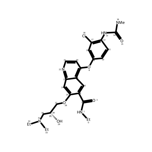 CCNC(=O)c1cc2c(Oc3ccc(NC(=O)NC)c(Cl)c3)ccnc2cc1OC[C@H](O)CN(CC)CC